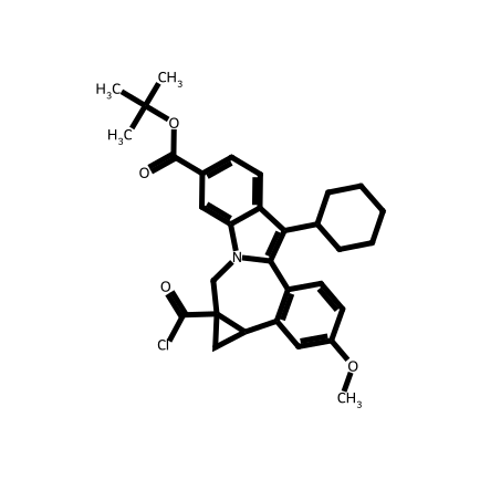 COc1ccc2c(c1)C1CC1(C(=O)Cl)Cn1c-2c(C2CCCCC2)c2ccc(C(=O)OC(C)(C)C)cc21